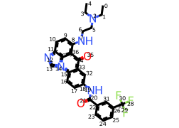 CCN(CC)CCNc1ccc2ncn3c4ccc(NC(=O)c5cccc(C(F)(F)F)c5)cc4c(=O)c1c23